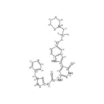 CC(C)(COc1ccc2[nH]c(-c3cc(NC(=O)Oc4cnn(Cc5ccccc5)c4)c[nH]c3=O)cc2c1)CN1CCCCC1